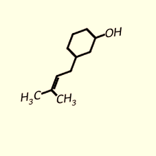 CC(C)=CCC1CCCC(O)C1